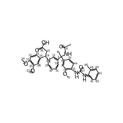 COc1cc(C(C)(NC(C)=O)C2=CN(C(CC(=O)O)c3ccc(OC)c(OC)c3)C=CC=C2)ccc1NC(=O)Nc1ccccc1C